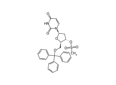 CS(=O)(=O)O[C@H]1C[C@H](n2ccc(=O)[nH]c2=O)O[C@@H]1COC(c1ccccc1)(c1ccccc1)c1ccccc1